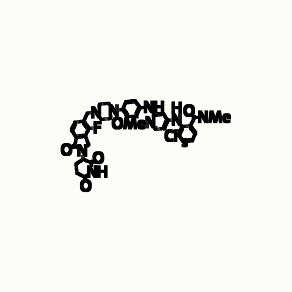 CNC(=O)c1ccccc1Nc1cc(Nc2ccc(N3CCN(Cc4ccc5c(c4F)CN(C4CCC(=O)NC4=O)C5=O)CC3)cc2OC)ncc1C(F)(F)F